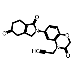 C#CCN1C(=O)COc2ccc(N3CC4=C(CCC(=O)C4)C3=O)cc21